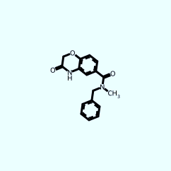 CN(Cc1ccccc1)C(=O)c1ccc2c(c1)NC(=O)CO2